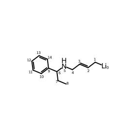 [Li][CH2]C=CCNC(CC)c1ccccc1